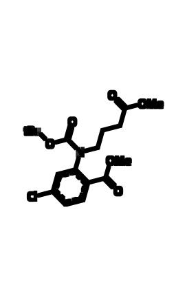 COC(=O)CCCN(C(=O)OC(C)(C)C)c1cc(Cl)ccc1C(=O)OC